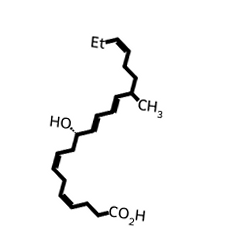 CC/C=C\CCC(C)/C=C/C=C/[C@@H](O)C/C=C\C/C=C\CCC(=O)O